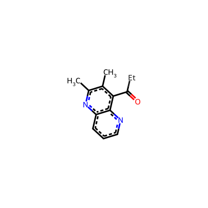 CCC(=O)c1c(C)c(C)nc2cccnc12